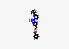 c1ccc(COCCc2ccc(Nc3cccc(-c4nccs4)n3)nc2)cc1